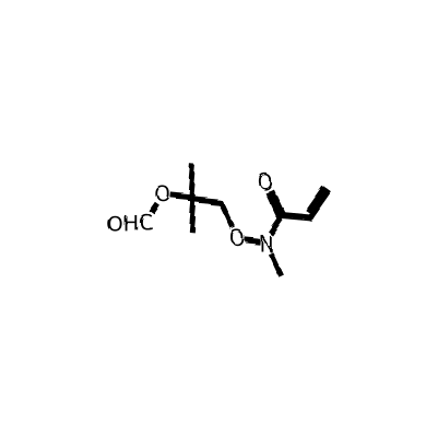 C=CC(=O)N(C)OCC(C)(C)OC=O